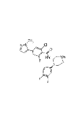 Cn1nccc1-c1cc(F)c(C(=O)N[C@@H]2CNCC[C@H]2c2ccc(F)c(F)c2)c(Cl)c1